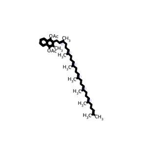 CC(=O)Oc1c(C)c(C/C=C(\C)CC/C=C(\C)CC/C=C(\C)CC/C=C(\C)CC/C=C(\C)CC/C=C(\C)CCC=C(C)C)c(OC(C)=O)c2ccccc12